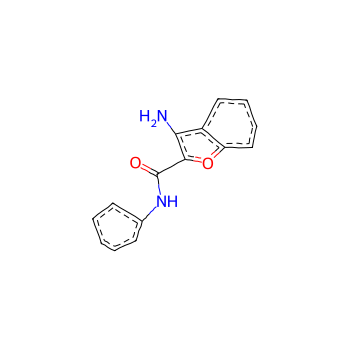 Nc1c(C(=O)Nc2ccccc2)oc2ccccc12